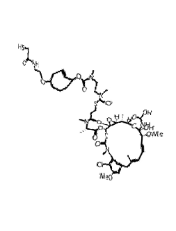 COc1cc2cc(c1Cl)N(C)C(=O)C[C@H](OC(=O)[C@H](C)N(C)C(=O)CCSC(=O)N(C)CCN(C)C(=O)OC1/C=C/CC(OCCNC(=O)CS)CCC1)[C@]1(C)O[C@H]1[C@H](C)[C@@H]1C[C@@](O)(NC(O)O1)[C@H](OC)/C=C/C=C(\C)C2